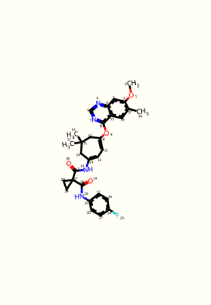 COc1cc2ncnc(OC3=CC=C(NC(=O)C4(C(=O)Nc5ccc(F)cc5)CC4)CC(C)(C)C3)c2cc1C